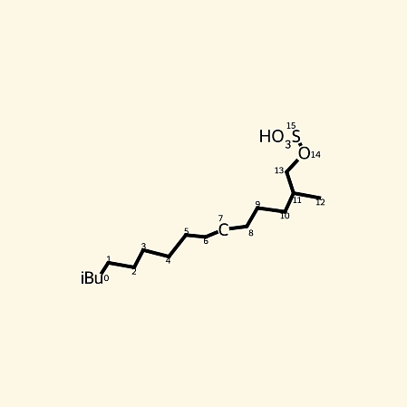 CCC(C)CCCCCCCCCCC(C)COS(=O)(=O)O